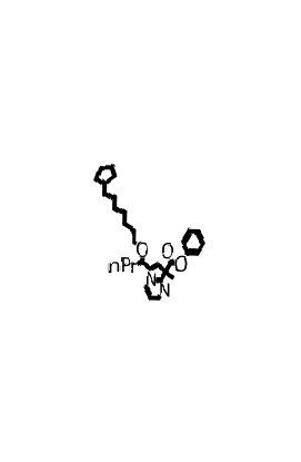 CCCC(CCC(C)(C(=O)Oc1ccccc1)c1ncccn1)OCCCCCCCC1CCCC1